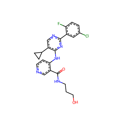 O=C(NCCCO)c1cnccc1Nc1nc(-c2cc(Cl)ccc2F)ncc1C1CC1